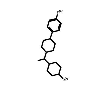 CCCc1ccc(C2CCC(C(C)C3CCC(CCC)CC3)CC2)cc1